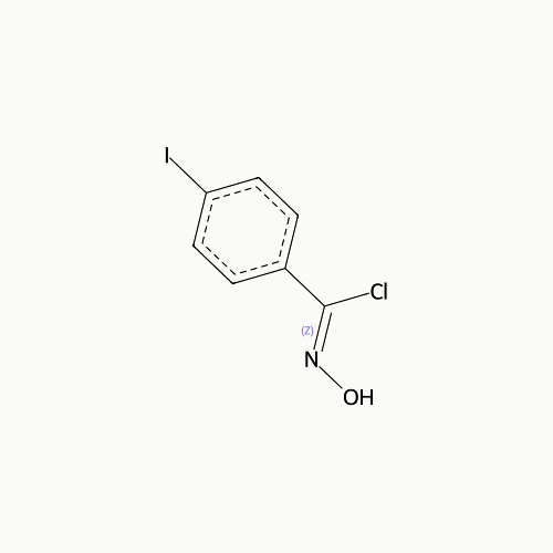 O/N=C(\Cl)c1ccc(I)cc1